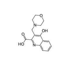 O=C(O)c1nc2ccccc2c(O)c1CN1CCOCC1